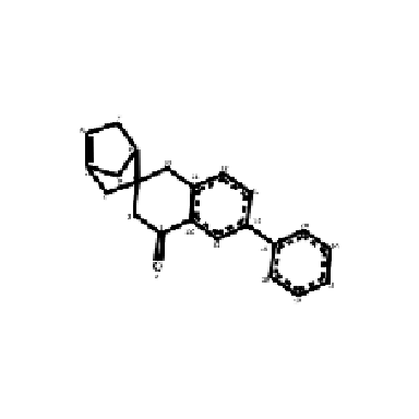 O=C1CC2(CC3=CCC2C3)Cc2ccc(-c3ccccc3)cc21